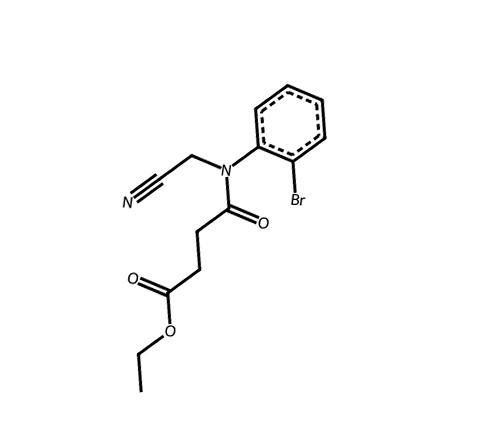 CCOC(=O)CCC(=O)N(CC#N)c1ccccc1Br